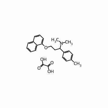 Cc1ccc(C(CCOc2cccc3ccccc23)N(C)C)cc1.O=C(O)C(=O)O